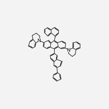 c1ccc(-c2ccc3cc(-c4c5cc(N6CCCc7ccccc76)ccc5c(-c5cccc6ccccc56)c5cc(N6CCCc7ccccc76)ccc45)ccc3c2)cc1